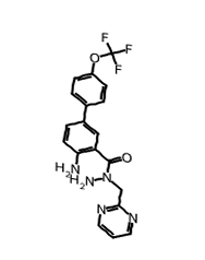 Nc1ccc(-c2ccc(OC(F)(F)F)cc2)cc1C(=O)N(N)Cc1ncccn1